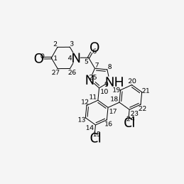 O=C1CCN(C(=O)c2c[nH]c(-c3ccc(Cl)cc3-c3ccccc3Cl)n2)CC1